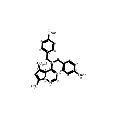 Bc1cc(C(=O)OCC)c2c(N(Cc3ccc(OC)cc3)Cc3ccc(OC)cc3)ncnn12